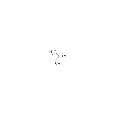 CCC/C=C(/C)C(C)C